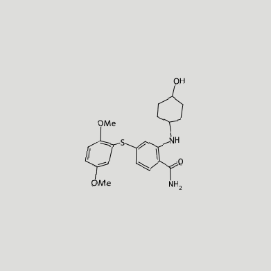 COc1ccc(OC)c(Sc2ccc(C(N)=O)c(NC3CCC(O)CC3)c2)c1